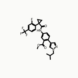 COC(=O)c1cc(NC(=O)C2(c3ccc(C(F)(F)F)cc3F)CC2)ccc1-c1cnn(CC(C)C)c1